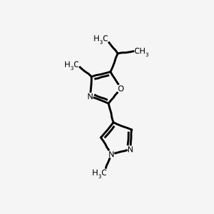 Cc1nc(-c2cnn(C)c2)oc1C(C)C